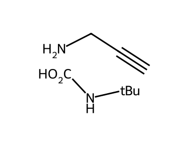 C#CCN.CC(C)(C)NC(=O)O